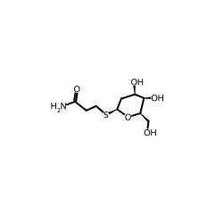 NC(=O)CCS[C@H]1C[C@@H](O)[C@@H](O)[C@@H](CO)O1